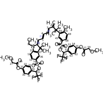 C=C(/C=C/C=C/C=C1/N(CC)c2ccc(S(=O)(=O)OC(c3ccc(OC(=O)COC)cc3)C(F)(F)F)cc2C1(C)C)C(C)(C)c1cc(S(=O)(=O)OC(c2ccc(OC(=O)COC)cc2)C(F)(F)F)ccc1C